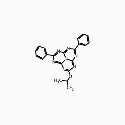 CC(OC1=NC2=NC(c3ccccc3)=NC3=NC(c4ccccc4)=NC(=N1)N23)C(F)(F)F